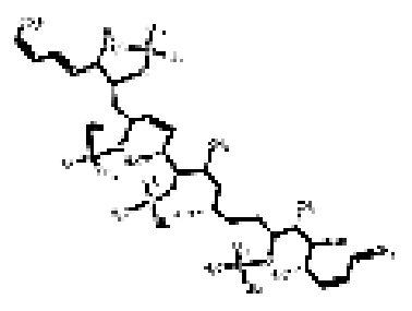 C=C/C=C\[C@H](C)[C@H](O)[C@@H](C)[C@H](CC[C@H](C)C[C@H](C)[C@@H](O[Si](C)(C)C(C)(C)C)[C@@H](C)/C=C\[C@H](C[C@H](O[Si](C)(C)C(C)(C)C)[C@H](C)/C=C/C=C\C(=O)O)O[Si](C)(C)C(C)(C)C)O[Si](C)(C)C(C)(C)C